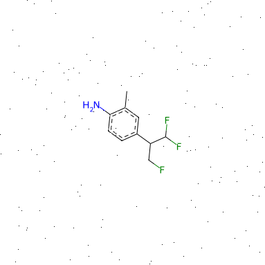 Cc1cc(C(CF)C(F)F)ccc1N